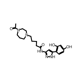 CC(=O)N1CCCN(CCCCC(=O)Nc2cc(-c3ccc(O)cc3O)[nH]n2)CC1